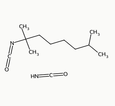 CC(C)CCCCC(C)(C)N=C=O.N=C=O